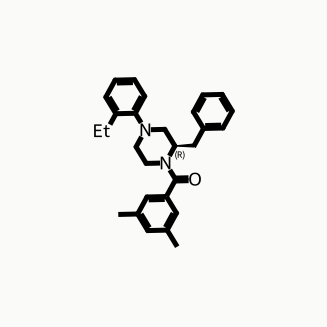 CCc1ccccc1N1CCN(C(=O)c2cc(C)cc(C)c2)[C@H](Cc2ccccc2)C1